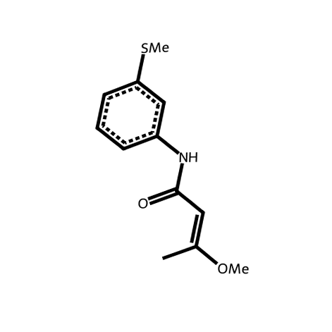 COC(C)=CC(=O)Nc1cccc(SC)c1